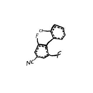 N#Cc1cc(F)c(-c2cc[c]cc2Cl)c(F)c1